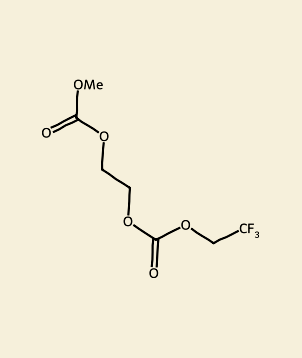 COC(=O)OCCOC(=O)OCC(F)(F)F